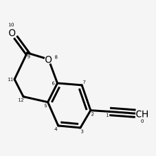 C#Cc1ccc2c(c1)OC(=O)CC2